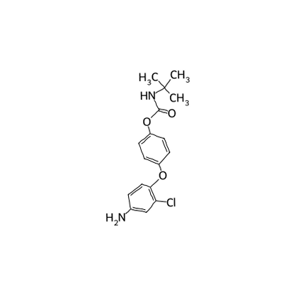 CC(C)(C)NC(=O)Oc1ccc(Oc2ccc(N)cc2Cl)cc1